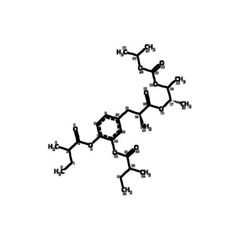 CCC(C)C(=O)Oc1ccc(C[C@H](N)C(=O)O[C@@H](C)C(C)OC(=O)OC(C)C)cc1OC(=O)C(C)CC